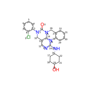 O=C1N(c2ccccc2Cl)Cc2cnc(N[C@H]3CC[C@H](O)CC3)nc2N1Cc1ccccc1